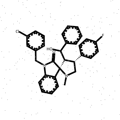 CN1C[C@@H](c2ccc(F)cc2)C(C(O)c2ccccc2)[C@]12C(=O)N(Cc1cccc(Cl)c1)c1ccccc12